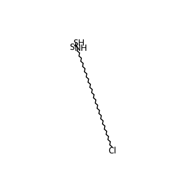 S=C(S)NCCCCCCCCCCCCCCCCCCCCCCCCCCCCCCCCCCCCCCCl